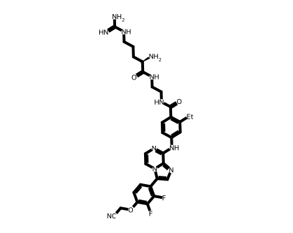 CCc1cc(Nc2nccn3c(-c4ccc(OCC#N)c(F)c4F)cnc23)ccc1C(=O)NCCNC(=O)[C@H](N)CCCNC(=N)N